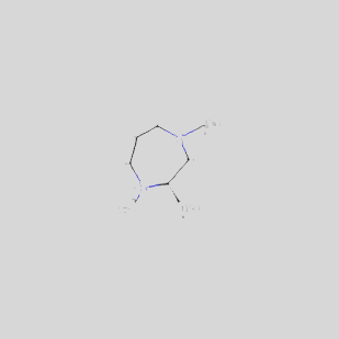 CCC(C)N1CCCN(C(C)(C)C)[C@H](C(C)(C)C)C1